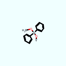 BO[Si]([O][V])(c1ccccc1)c1ccccc1